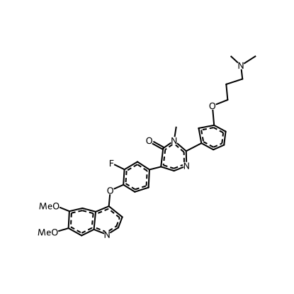 COc1cc2nccc(Oc3ccc(-c4cnc(-c5cccc(OCCCN(C)C)c5)n(C)c4=O)cc3F)c2cc1OC